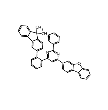 CC1(C)c2ccccc2-c2cc(-c3ccccc3-c3cc(-c4ccc5c(c4)oc4ccccc45)nc(-c4ccccc4)n3)ccc21